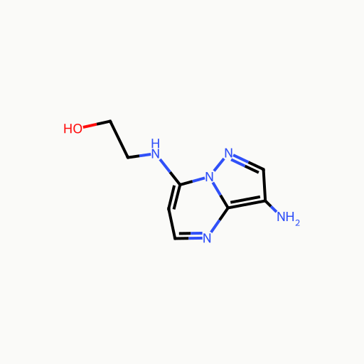 Nc1cnn2c(NCCO)ccnc12